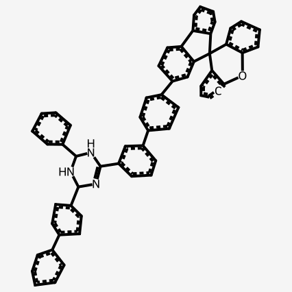 c1ccc(-c2ccc(C3N=C(c4cccc(-c5ccc(-c6ccc7c(c6)C6(c8ccccc8Oc8ccccc86)c6ccccc6-7)cc5)c4)NC(c4ccccc4)N3)cc2)cc1